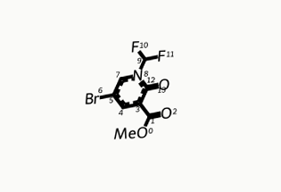 COC(=O)c1cc(Br)cn(C(F)F)c1=O